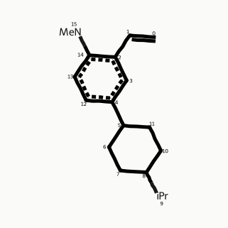 C=Cc1cc(C2CCC(C(C)C)CC2)ccc1NC